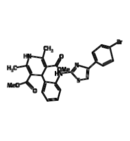 COC(=O)C1=C(C)NC(C)=C(C(=O)OC)C1c1ccccc1Nc1nc(-c2ccc(Br)cc2)cs1